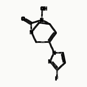 O=C1N2CC(n3ccc(F)n3)=CC(C2)N1O